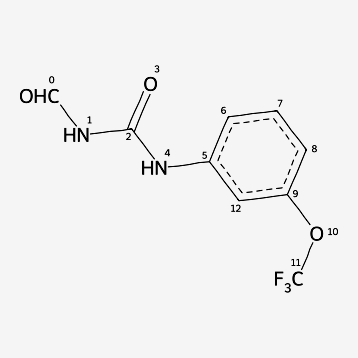 O=CNC(=O)Nc1cccc(OC(F)(F)F)c1